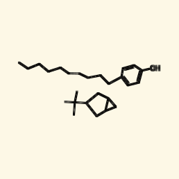 CC(C)(C)C1CC2CC2C1.CCCCCCCCCCc1ccc(O)cc1